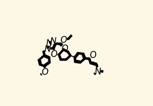 CCOC(=O)c1nnn(Cc2ccc(OC)cc2)c1O[C@H]1CC[C@H](c2ccc(C(=O)/C=C/N(C)C)cc2)CC1